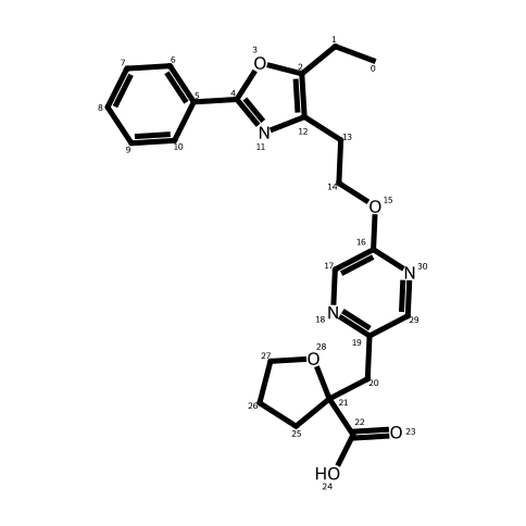 CCc1oc(-c2ccccc2)nc1CCOc1cnc(CC2(C(=O)O)CCCO2)cn1